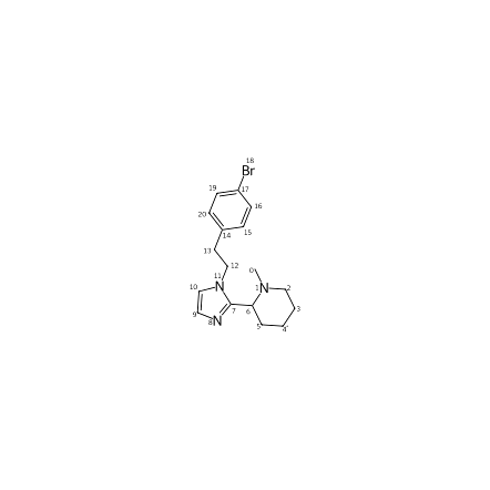 CN1CC[CH]CC1c1nccn1CCc1ccc(Br)cc1